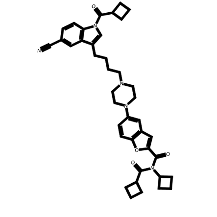 N#Cc1ccc2c(c1)c(CCCCN1CCN(c3ccc4oc(C(=O)N(C(=O)C5CCC5)C5CCC5)cc4c3)CC1)cn2C(=O)C1CCC1